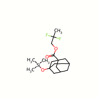 CC(F)(F)COC(=O)C12CC3CC(CC(O[Si](C)(C)C)(C3)C1)C2